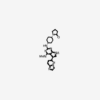 CNc1nc(N[C@H]2CC[C@@H](N3CCCC3=O)CC2)nc2[nH]cc(-c3ccc4nccn4n3)c12